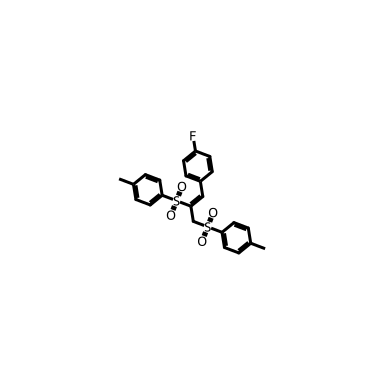 Cc1ccc(S(=O)(=O)CC(=Cc2ccc(F)cc2)S(=O)(=O)c2ccc(C)cc2)cc1